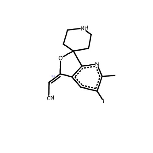 Cc1nc2c(cc1I)/C(=C\C#N)OC21CCNCC1